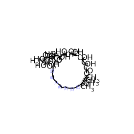 C[C@@H]1[C@H](O)[C@@H](C)/C=C/C=C/C=C/C=C/C=C/C=C/C=C/[C@H](OC2O[C@H](C)[C@@H](O)[C@H](N)C2O)C[C@@H]2OC(O)(C[C@@H](O)C[C@@H](O)[C@H](O)CCC(O)C[C@@H](O)CC(=O)O[C@H]1C)C[C@H](O)[C@H]2C(=O)O